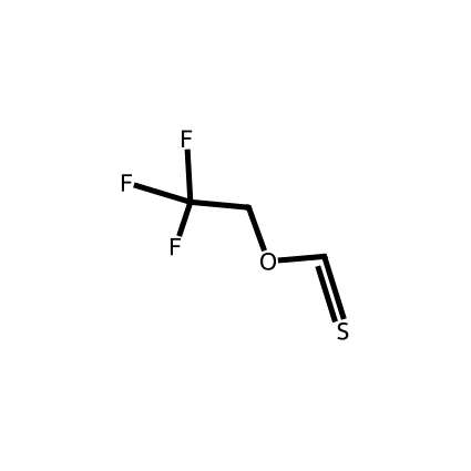 FC(F)(F)COC=S